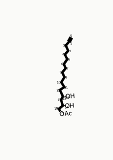 C#CCCCCCCCCCCC[C@H](O)C[C@H](O)COC(C)=O